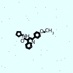 CCOc1ccc(-c2cc(C(=O)NC3CCCC3)c3ccccc3n2)cc1